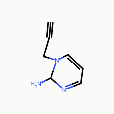 C#CCN1C=CC=NC1N